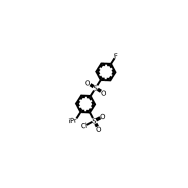 CC(C)c1ccc(S(=O)(=O)c2ccc(F)cc2)cc1S(=O)(=O)Cl